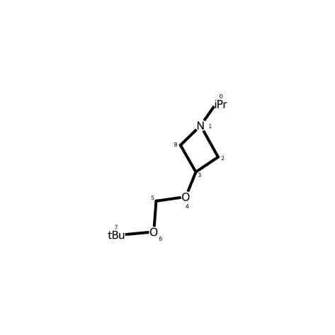 CC(C)N1CC(OCOC(C)(C)C)C1